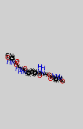 N#COc1cccc(NC(=O)OCCCNC(=O)Nc2ccc3c(c2)Cc2cc(NC(=O)NCCCOC(=O)Nc4cccc(N=C=O)c4)ccc2-3)c1